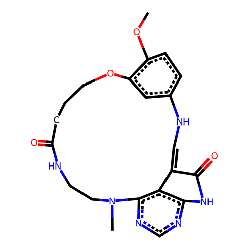 COc1ccc2cc1OCCCC(=O)NCCN(C)c1ncnc3c1/C(=C/N2)C(=O)N3